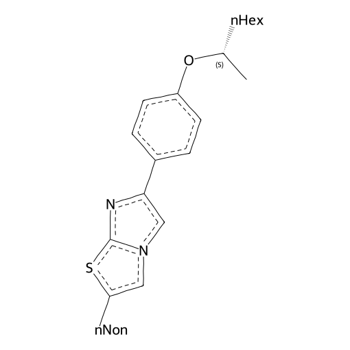 CCCCCCCCCc1cn2cc(-c3ccc(O[C@@H](C)CCCCCC)cc3)nc2s1